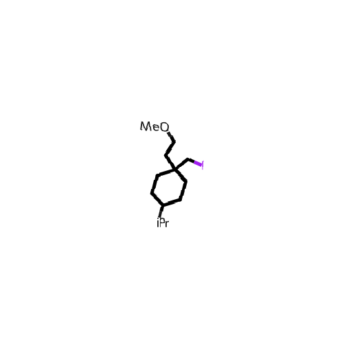 COCCC1(CI)CCC(C(C)C)CC1